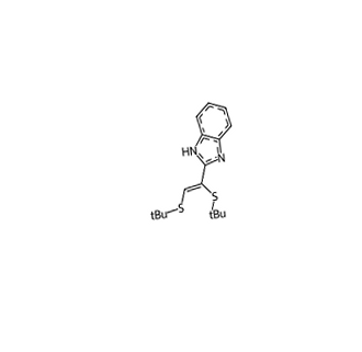 CC(C)(C)SC=C(SC(C)(C)C)c1nc2ccccc2[nH]1